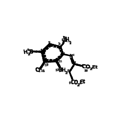 Bc1cc(B)c(/N=C(\CC(=O)OCC)C(=O)OCC)c(B)c1Cl